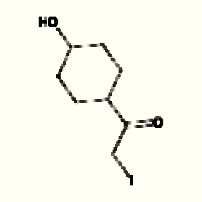 O=C(CI)C1CCC(O)CC1